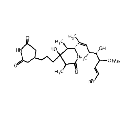 CCC/C=C/[C@H](OC)[C@@H](O)[C@H](C)/C=C(/C)[C@@H]1OC(=O)C(C)C(O)(CCCC2CC(=O)NC(=O)C2)[C@H]1C